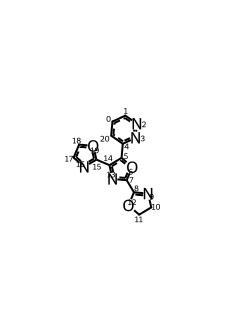 c1cnnc(-c2oc(C3=NCCO3)nc2-c2ncco2)c1